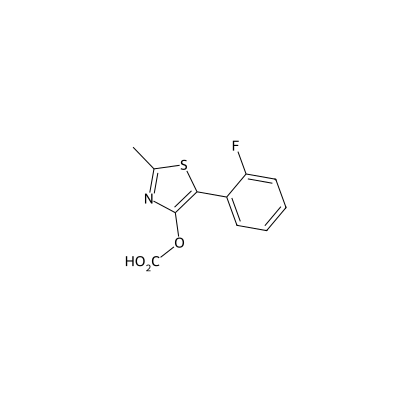 Cc1nc(OC(=O)O)c(-c2ccccc2F)s1